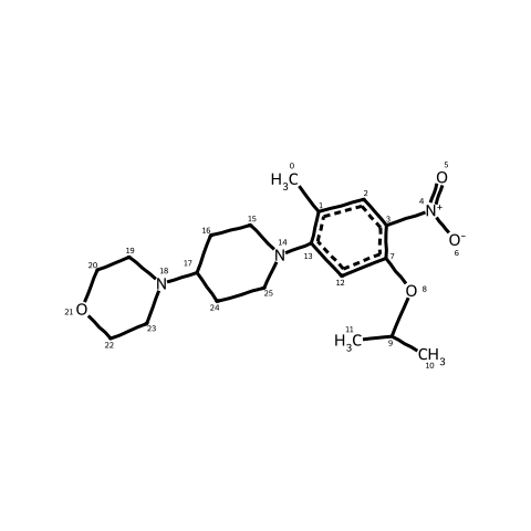 Cc1cc([N+](=O)[O-])c(OC(C)C)cc1N1CCC(N2CCOCC2)CC1